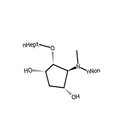 CCCCCCCCCN(C)[C@@H]1[C@@H](OCCCCCCC)[C@@H](O)C[C@H]1O